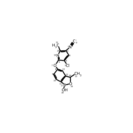 [C-]#[N+]c1cc(Cl)c(Oc2ccc3c(c2)C(C)OB3O)nc1C